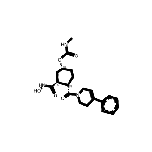 CNC(=O)O[C@@H]1CC[C@H](C(=O)N2CC=C(c3ccccc3)CC2)[C@@H](C(=O)NO)C1